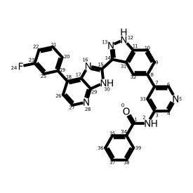 O=C(Nc1cncc(-c2ccc3[nH]nc(-c4nc5c(-c6cccc(F)c6)ccnc5[nH]4)c3c2)c1)c1ccccc1